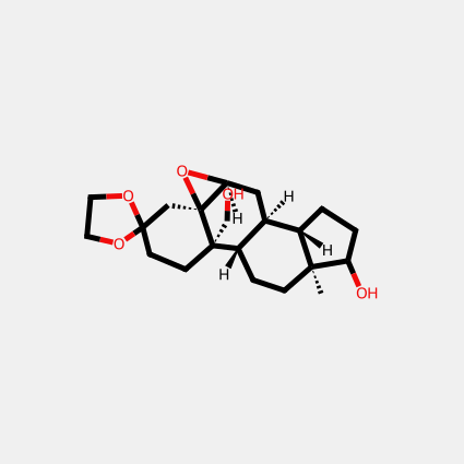 C[C@]12CC[C@H]3[C@@H](C[C@@H]4O[C@@]45CC4(CC[C@]35CO)OCCO4)[C@@H]1CCC2O